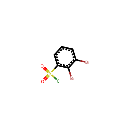 O=S(=O)(Cl)c1cccc(Br)c1Br